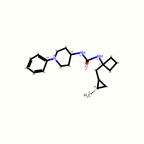 C[C@H]1CC1CC1(NC(=O)NC2CCN(c3ccccc3)CC2)CCC1